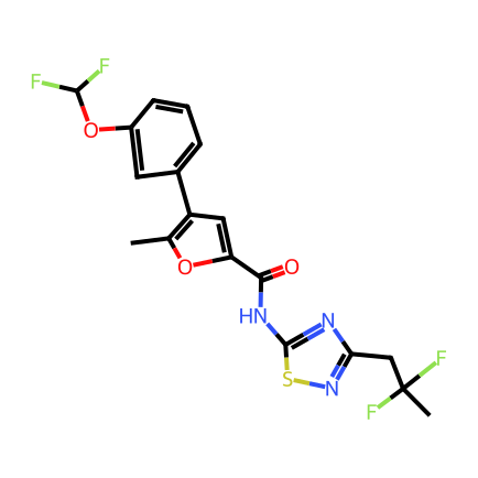 Cc1oc(C(=O)Nc2nc(CC(C)(F)F)ns2)cc1-c1cccc(OC(F)F)c1